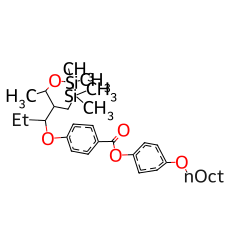 CCCCCCCCOc1ccc(OC(=O)c2ccc(OC(CC)C3C[Si](C)(C)[Si](C)(C)OC3C)cc2)cc1